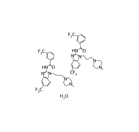 CN1CCN(CCCn2c(NC(=O)c3cccc(C(F)(F)F)c3)nc3cc(C(F)(F)F)ccc32)CC1.CN1CCN(CCCn2c(NC(=O)c3cccc(C(F)(F)F)c3)nc3cc(C(F)(F)F)ccc32)CC1.O